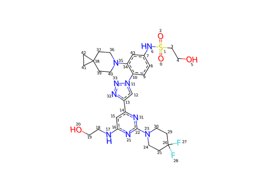 O=S(=O)(CCO)Nc1ccc(-n2cc(-c3cc(NCCO)nc(N4CCC(F)(F)CC4)n3)nn2)c(N2CCC3(CC2)CC3)c1